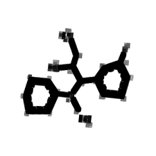 CN(c1ccccc1)C(c1cccc(F)c1)C(O)CN.Cl